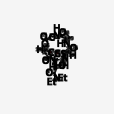 CCN(CC)C(=O)CC[C@H]1NC(=O)C[C@H]2/C=C/CCSSC[C@@H](NC1=O)C(=O)NC1(CC1)C(=O)NCC(=O)O2